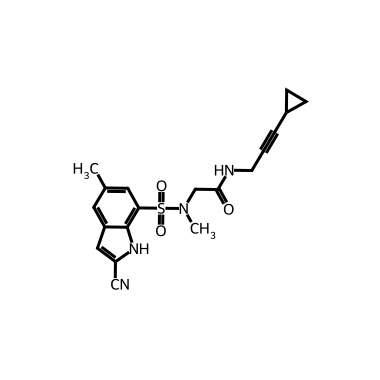 Cc1cc(S(=O)(=O)N(C)CC(=O)NCC#CC2CC2)c2[nH]c(C#N)cc2c1